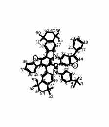 CC(C)(C)c1ccc(N2B3c4cc5occ(-c6ccccc6)c5cc4-n4c5cc6c(cc5c5c7oc8ccccc8c7c(c3c54)-c3cc4c(cc32)C(C)(C)CCC4(C)C)C(C)(C)CCC6(C)C)cc1